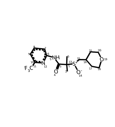 CC(C)(C(=O)Nc1cccc(C(F)(F)F)n1)[S+]([O-])CC1CCOCC1